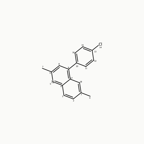 Cc1ccc2nc(C)cc(-c3ccc(Cl)cc3)c2c1